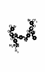 Cc1nnc(-c2ccc(-n3c(=O)c4c(n5ncc(Cc6ccc(Cn7cncc7-c7ccc(-n8c(=O)c9c(n%10ncc(Cc%11ccccc%11)c8%10)CN(C(=O)c8ccc(Br)c(C(F)(F)F)c8)CC9)cc7)cc6)c35)CN(C(=O)c3ccc(Br)c(Cl)c3)CC4)cc2)n1C